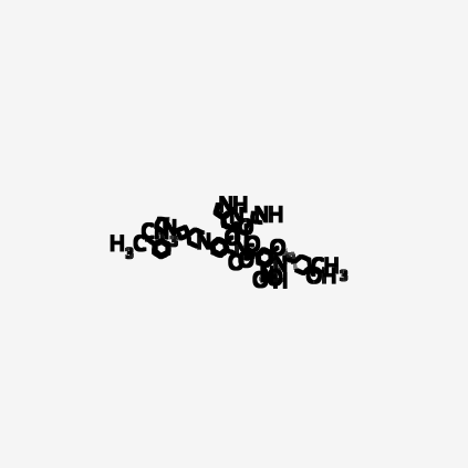 CC(C)c1ccccc1[C@H]1CCCN1C1CC2(CCN(c3ccc(C(=O)NS(=O)(=O)c4cc5c(c([N+](=O)[O-])c4)N[C@@H]([C@H]4CC[C@](C)(O)CC4)CO5)c(Oc4cc5cc[nH]c5nc4OC4CNC4)c3)CC2)C1